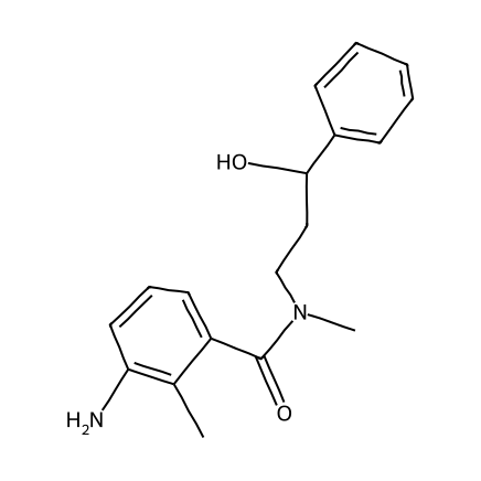 Cc1c(N)cccc1C(=O)N(C)CCC(O)c1ccccc1